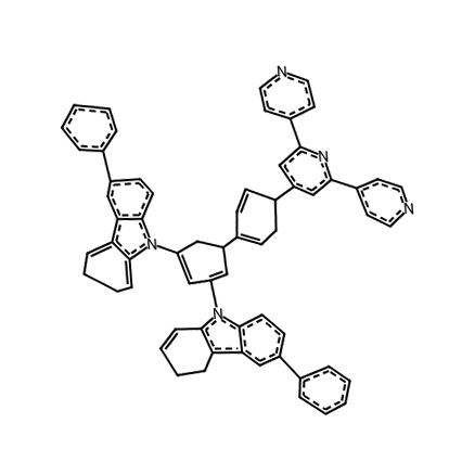 C1=Cc2c(c3cc(-c4ccccc4)ccc3n2C2=CC(C3=CCC(c4cc(-c5ccncc5)nc(-c5ccncc5)c4)C=C3)CC(n3c4c(c5cc(-c6ccccc6)ccc53)=CCCC=4)=C2)CC1